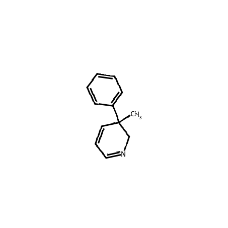 CC1(c2ccccc2)C=CC=NC1